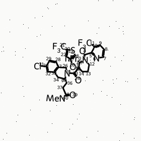 CCC[C@H]1N(C(=O)c2ncccc2C(F)(F)F)CCC[C@@]1(Oc1csc(C(F)(F)F)c1)C(=O)N1Cc2ccc(Cl)cc2C[C@@H]1CCC(=O)NC